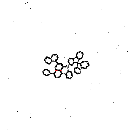 c1ccc(-c2ccc(-c3ccccc3N(c3cccc(-c4cccc5ccccc45)c3)c3ccc4c(c3)C(c3ccccc3)(c3ccccc3)c3ccccc3-4)cc2)cc1